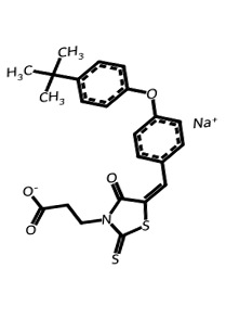 CC(C)(C)c1ccc(Oc2ccc(C=C3SC(=S)N(CCC(=O)[O-])C3=O)cc2)cc1.[Na+]